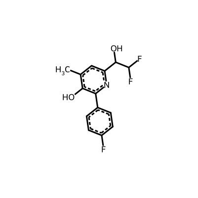 Cc1cc(C(O)C(F)F)nc(-c2ccc(F)cc2)c1O